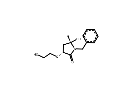 C[C@]1(O)C[C@@H](SCCO)C(=O)N1Cc1ccccc1